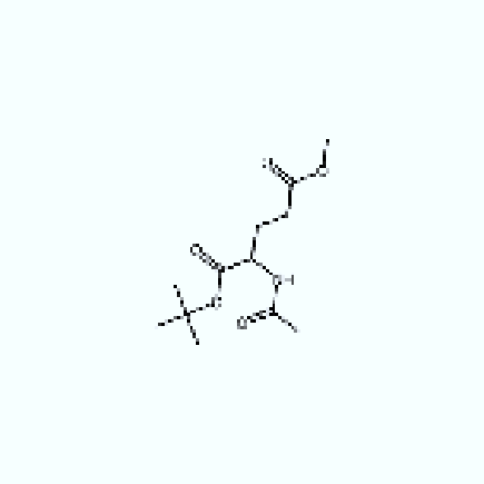 COC(=O)CCC(NC(C)=O)C(=O)OC(C)(C)C